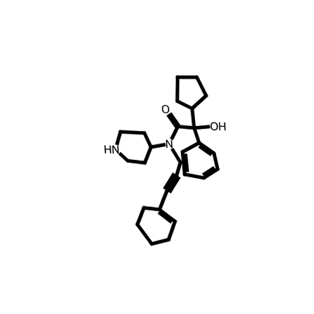 O=C(N(CC#CC1=CCCCC1)C1CCNCC1)C(O)(c1ccccc1)C1CCCC1